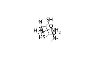 CN(C)C(=O)C(CS)C(C(N)=O)(C(N)=O)C(CS)C(=O)N(C)C